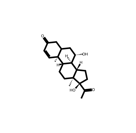 CC(=O)[C@@]1(O)CC[C@H]2[C@@H]3[C@@H](O)CC4CC(=O)C=C[C@]4(C)[C@H]3CC[C@@]21C